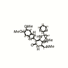 CN/C=C1/NC(=O)C(c2nc3cc(OC)c(OC)cc3[nH]2)=C(N[C@@]2(c3ncccn3)CC2OC)C1=N